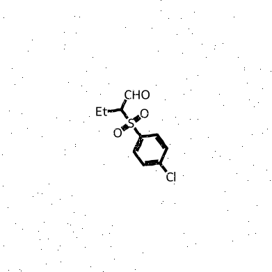 CCC(C=O)S(=O)(=O)c1ccc(Cl)cc1